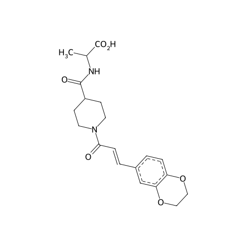 CC(NC(=O)C1CCN(C(=O)C=Cc2ccc3c(c2)OCCO3)CC1)C(=O)O